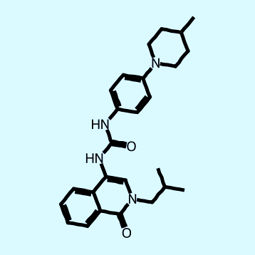 CC(C)Cn1cc(NC(=O)Nc2ccc(N3CCC(C)CC3)cc2)c2ccccc2c1=O